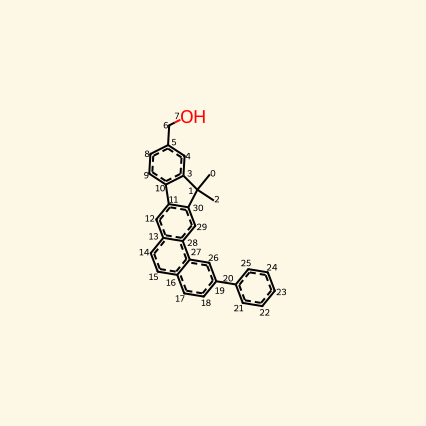 CC1(C)c2cc(CO)ccc2-c2cc3ccc4ccc(-c5ccccc5)cc4c3cc21